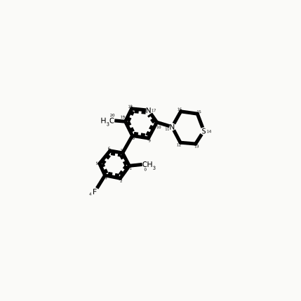 Cc1cc(F)ccc1-c1cc(N2CCSCC2)ncc1C